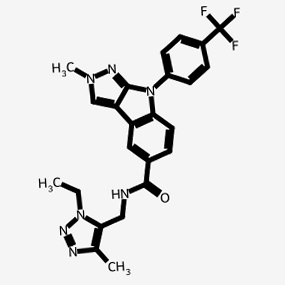 CCn1nnc(C)c1CNC(=O)c1ccc2c(c1)c1cn(C)nc1n2-c1ccc(C(F)(F)F)cc1